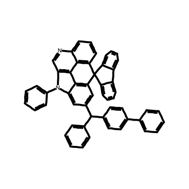 c1ccc(-c2ccc(C(c3ccccc3)c3cc4c5c6c7c(cccc7ncc6n(-c6ccccc6)c5c3)C43c4ccccc4-c4ccccc43)cc2)cc1